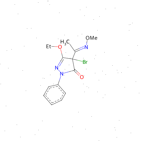 CCOC1=NN(c2ccccc2)C(=O)C1(Br)/C(C)=N/OC